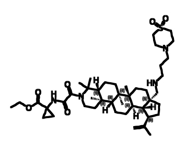 C=C(C)[C@@H]1CC[C@]2(CNCCCN3CCS(=O)(=O)CC3)CC[C@]3(C)[C@H](CC[C@@H]4[C@@]5(C)CCN(C(=O)C(=O)NC6(C(=O)OCC)CC6)C(C)(C)[C@@H]5CC[C@]43C)[C@@H]12